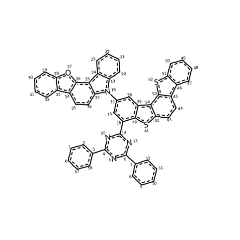 c1ccc(-c2nc(-c3ccccc3)nc(-c3cc(-n4c5ccccc5c5c6oc7ccccc7c6ccc54)cc4c3sc3ccc5c6ccccc6sc5c34)n2)cc1